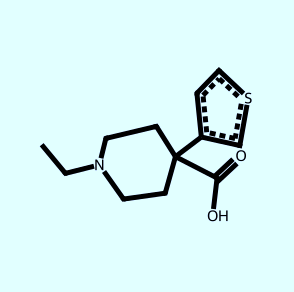 CCN1CCC(C(=O)O)(c2ccsc2)CC1